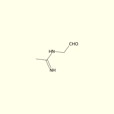 CC(=N)NCC=O